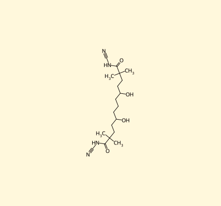 CC(C)(CCC(O)CCCC(O)CCC(C)(C)C(=O)NC#N)C(=O)NC#N